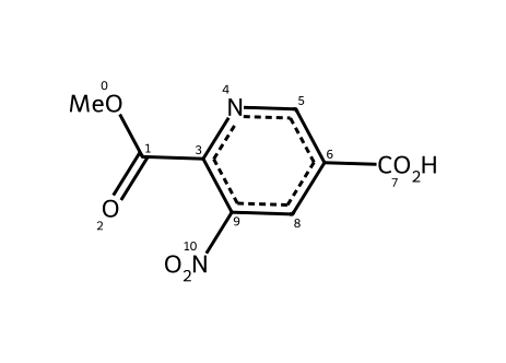 COC(=O)c1ncc(C(=O)O)cc1[N+](=O)[O-]